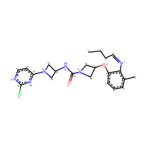 CCC/C=N\c1c(C)cccc1OC1CN(C(=O)NC2CN(c3ccnc(Cl)n3)C2)C1